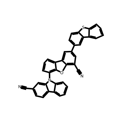 N#Cc1ccc2c3ccccc3n(-c3cccc4c3oc3c(C#N)cc(-c5ccc6sc7ccccc7c6c5)cc34)c2c1